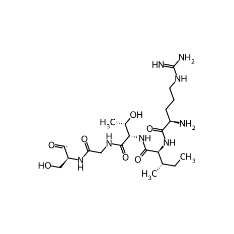 CC[C@H](C)[C@H](NC(=O)[C@H](N)CCCNC(=N)N)C(=O)N[C@H](C(=O)NCC(=O)N[C@H]([C]=O)CO)[C@H](C)O